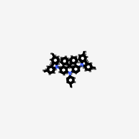 Cc1ccc(N2c3ccc(-n4c5ccc(C)cc5c5cc(C)ccc54)cc3C(c3ccccc3)(c3ccccc3)c3cc(-n4c5ccc(C)cc5c5cc(C)ccc54)ccc32)cc1